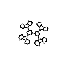 c1cnc2c3ncccc3n(-c3cc(-c4cc(-n5c6cccnc6c6ncccc65)cc(-n5c6cccnc6c6ncccc65)c4)cc(-n4c5cccnc5c5ncccc54)c3)c2c1